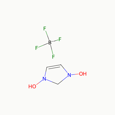 F[B-](F)(F)F.ON1C=CN(O)C1